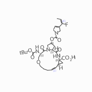 C/C=C(/F)C1=CCN(C(=O)O[C@@H]2C[C@H]3C(=O)N[C@]4(C(=O)O)C[C@H]4/C=C\CCCOC[C@H](NC(=O)OC(C)(C)C)C(=O)N3C2)C1